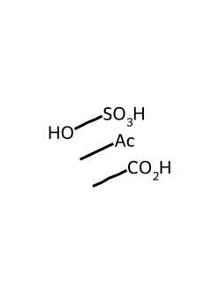 CC(=O)O.CC(C)=O.O=S(=O)(O)O